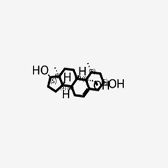 C[C@@H]1C[C@H](O)CC2=CC[C@H]3[C@@H]4CC[C@H](O)[C@@]4(C)CC[C@@H]3[C@]21CO